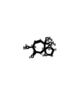 CC1(C)C=C[C@H](O)C(=O)CC12OCCO2